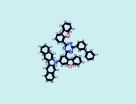 c1ccc(-c2cccc(-c3nc(-c4cccc5c4oc4ccccc45)nc(-c4cc(-n5c6cc7ccccc7cc6c6cc7ccccc7cc65)cc5oc6ccccc6c45)n3)c2)cc1